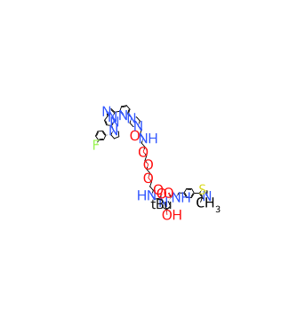 Cc1ncsc1-c1ccc(CNC(=O)[C@@H]2C[C@@H](O)CN2C(=O)[C@@H](NC(=O)CCOCCOCCOCCNC(=O)CN2CCN(c3cccc(-c4cnc5ccc(N6CCC[C@@H]6c6cccc(F)c6)nn45)n3)CC2)C(C)(C)C)cc1